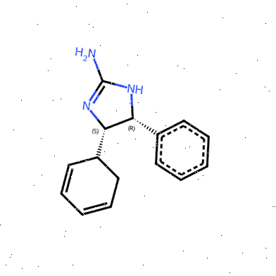 NC1=N[C@@H](C2C=CC=CC2)[C@@H](c2ccccc2)N1